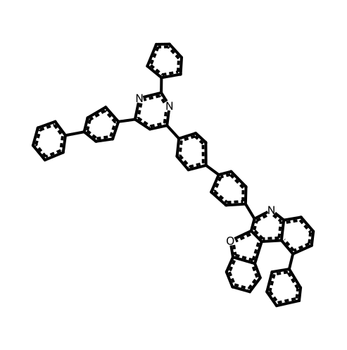 c1ccc(-c2ccc(-c3cc(-c4ccc(-c5ccc(-c6nc7cccc(-c8ccccc8)c7c7c6oc6ccccc67)cc5)cc4)nc(-c4ccccc4)n3)cc2)cc1